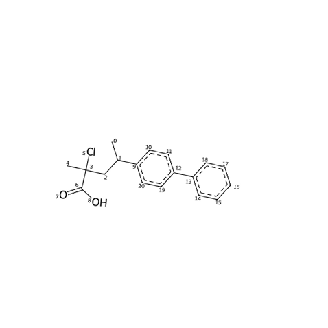 CC(CC(C)(Cl)C(=O)O)c1ccc(-c2ccccc2)cc1